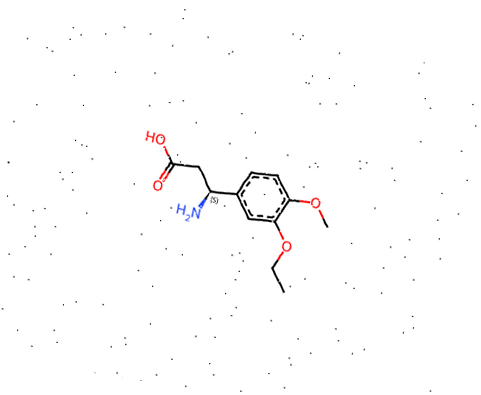 CCOc1cc([C@@H](N)CC(=O)O)ccc1OC